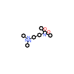 c1ccc(-c2nc(-c3ccccc3)nc(-c3ccc(-c4ccc(-c5nc6c7ccccc7oc6c6oc7ccccc7c56)cc4)cc3)n2)cc1